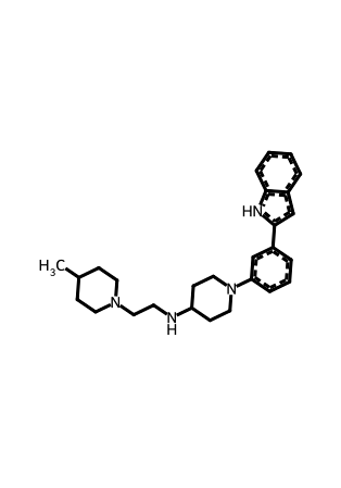 CC1CCN(CCNC2CCN(c3cccc(-c4cc5ccccc5[nH]4)c3)CC2)CC1